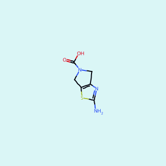 Nc1nc2c(s1)CN(C(=O)O)C2